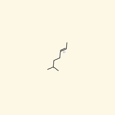 C/C=C/CC[C](C)C